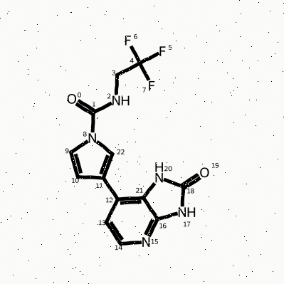 O=C(NCC(F)(F)F)n1ccc(-c2ccnc3[nH]c(=O)[nH]c23)c1